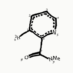 [2H]c1cccnc1C(=O)NC